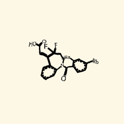 O=C(O)/C=C1/c2ccccc2N(C(=O)c2cc[c]([Rb])c[c]2[RaH])CCC1(F)F